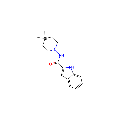 C[Si]1(C)CCN(NC(=O)c2cc3ccccc3[nH]2)CC1